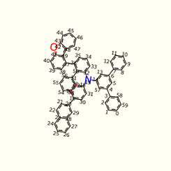 c1ccc(-c2cc(-c3ccccc3)cc(N(c3ccc(-c4ccc5ccccc5c4)cc3)c3cccc(-c4cccc5oc6ccccc6c45)c3-c3ccccc3)c2)cc1